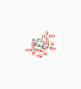 C[C@H](OS(=O)(=O)O)[C@@H](OS(=O)(=O)O)[C@@H](OS(=O)(=O)O)[C@@H](C=O)OS(=O)(=O)O